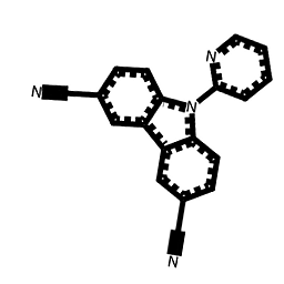 N#Cc1ccc2c(c1)c1cc(C#N)ccc1n2-c1ccccn1